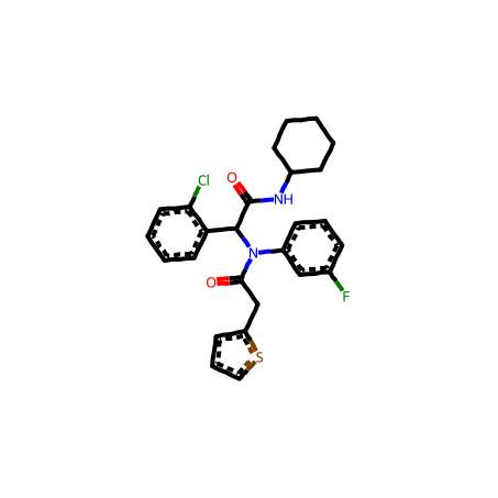 O=C(NC1CCCCC1)C(c1ccccc1Cl)N(C(=O)Cc1cccs1)c1cccc(F)c1